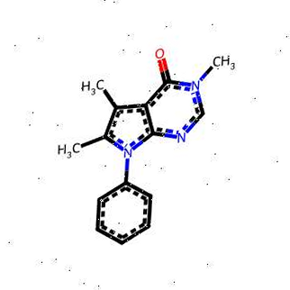 Cc1c(C)n(-c2ccccc2)c2ncn(C)c(=O)c12